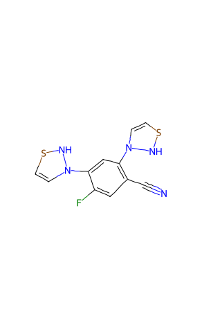 N#Cc1cc(F)c(N2C=CSN2)cc1N1C=CSN1